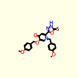 COc1ccc(COc2cn(Cc3ccc(OC)cc3)c(-c3n[nH]c(=S)o3)cc2=O)cc1